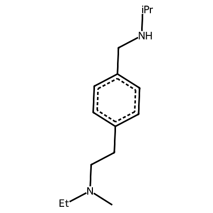 CCN(C)CCc1ccc(CNC(C)C)cc1